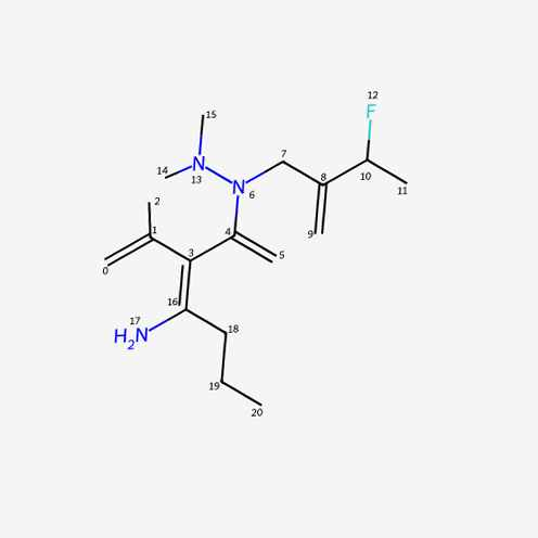 C=C(C)/C(C(=C)N(CC(=C)C(C)F)N(C)C)=C(\N)CCC